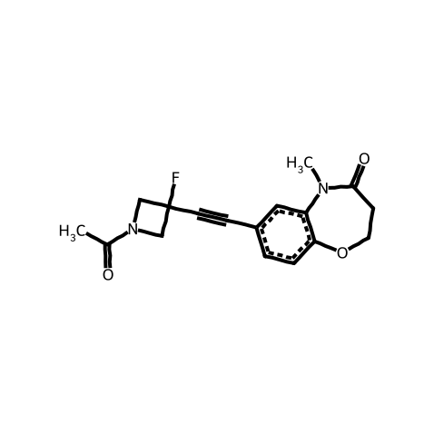 CC(=O)N1CC(F)(C#Cc2ccc3c(c2)N(C)C(=O)CCO3)C1